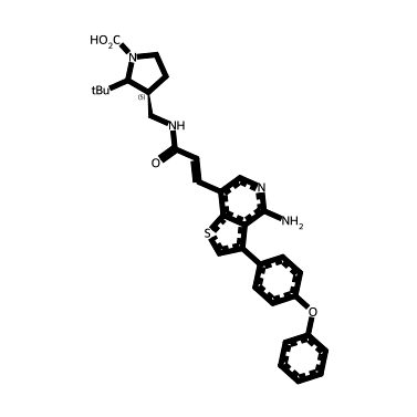 CC(C)(C)C1[C@H](CNC(=O)C=Cc2cnc(N)c3c(-c4ccc(Oc5ccccc5)cc4)csc23)CCN1C(=O)O